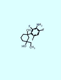 CCC1(O)CCCC(C)(c2c(F)cc(F)c(N)c2F)C1